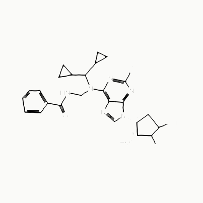 CC1C[C@@H](n2cnc3c(N(CNC(=O)c4ccccc4)C(C4CC4)C4CC4)nc(Cl)nc32)[C@@H](O)C1O